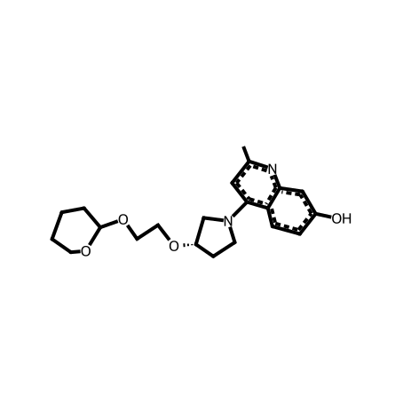 Cc1cc(N2CC[C@H](OCCOC3CCCCO3)C2)c2ccc(O)cc2n1